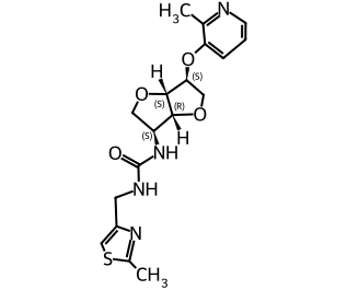 Cc1nc(CNC(=O)N[C@H]2CO[C@H]3[C@@H]2OC[C@@H]3Oc2cccnc2C)cs1